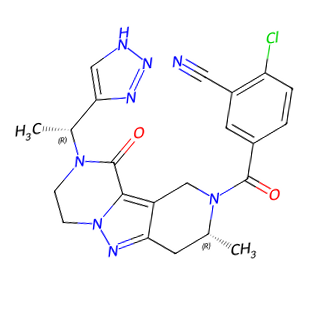 C[C@@H]1Cc2nn3c(c2CN1C(=O)c1ccc(Cl)c(C#N)c1)C(=O)N([C@H](C)c1c[nH]nn1)CC3